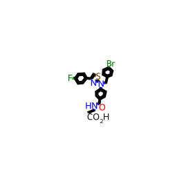 O=C(O)CCNC(=O)c1ccc(N(Cc2ccc(Br)cc2)c2nc(-c3ccc(F)cc3)cs2)cc1